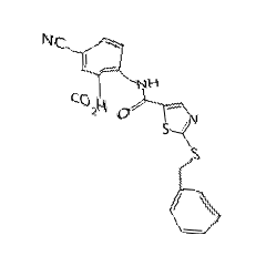 N#Cc1ccc(NC(=O)c2cnc(SCc3ccccc3)s2)c(C(=O)O)c1